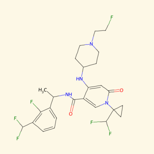 CC(NC(=O)c1cn(C2(C(F)F)CC2)c(=O)cc1NC1CCN(CCF)CC1)c1cccc(C(F)F)c1F